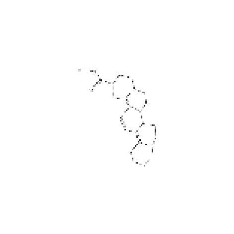 COC(=O)C1CCC2CCC3C(=C2C1)C=CC1=C2CCCCC2CCC13